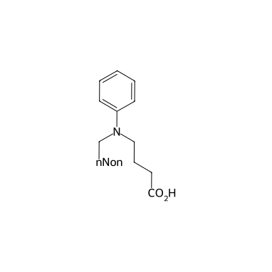 CCCCCCCCCCN(CCCC(=O)O)c1ccccc1